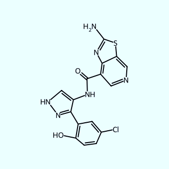 Nc1nc2c(C(=O)Nc3c[nH]nc3-c3cc(Cl)ccc3O)cncc2s1